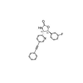 O=C1N[C@@H](c2ccc(C#Cc3ccccc3)cn2)[C@H](c2cccc(F)c2)O1